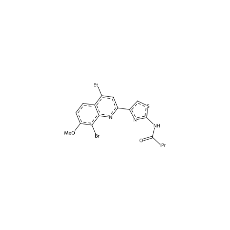 CCc1cc(-c2csc(NC(=O)C(C)C)n2)nc2c(Br)c(OC)ccc12